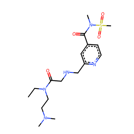 CCN(CCN(C)C)C(=O)CNCc1cc(C(=O)N(C)S(C)(=O)=O)ccn1